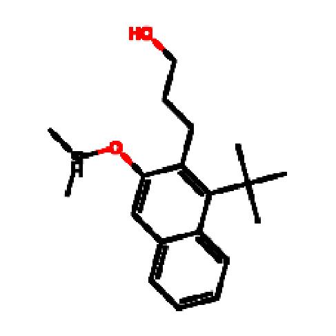 C[SiH](C)Oc1cc2ccccc2c(C(C)(C)C)c1CCCO